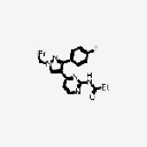 CCC(=O)Nc1nccc(-c2cn(CC(C)C)nc2-c2ccc(F)cc2)n1